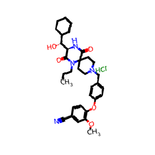 CCCN1C(=O)[C@@H]([C@H](O)C2CCCCC2)NC(=O)C12CCN(Cc1ccc(Oc3ccc(C#N)cc3OC)cc1)CC2.Cl